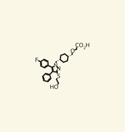 O=C(O)COC[C@H]1CC[C@@H](Cn2nc(SCCO)c(-c3ccccc3)c2-c2ccc(F)cc2)CC1